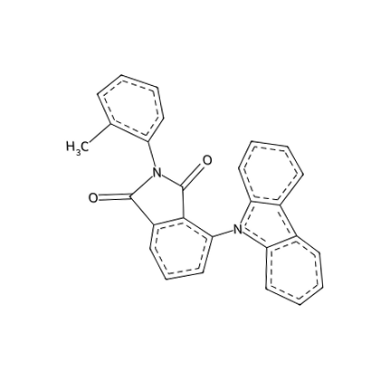 Cc1ccccc1N1C(=O)c2cccc(-n3c4ccccc4c4ccccc43)c2C1=O